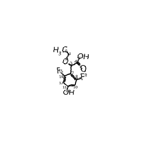 CCOC(C(=O)O)c1c(F)cc(O)cc1F